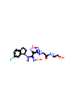 O=C(CNc1nonc1/C(=N\O)N[C@@H]1CCc2ccc(F)cc21)NCCO